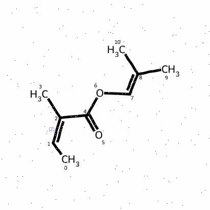 C/C=C(/C)C(=O)OC=C(C)C